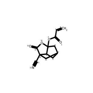 C=CC(=O)OC12CC3CC1C(C#N)(C3)C(=O)O2